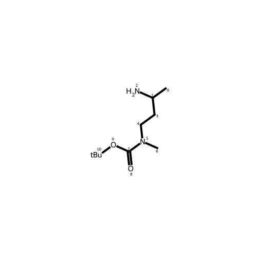 CC(N)CCN(C)C(=O)OC(C)(C)C